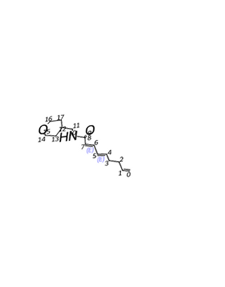 C=CCC/C=C/C=C/C(=O)NCC1CCOCC1